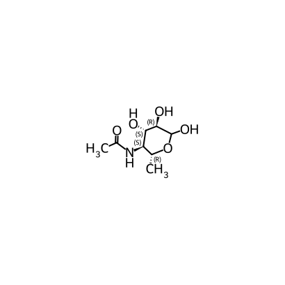 CC(=O)N[C@H]1[C@H](O)[C@@H](O)C(O)O[C@@H]1C